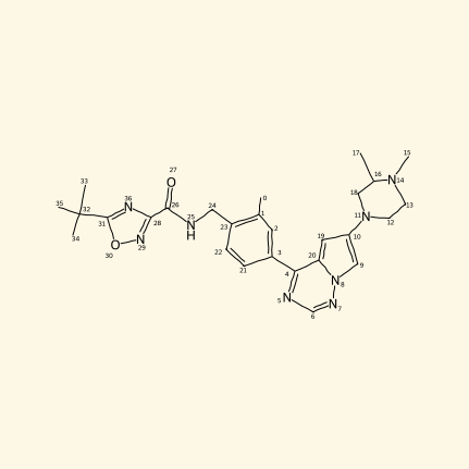 Cc1cc(-c2ncnn3cc(N4CCN(C)C(C)C4)cc23)ccc1CNC(=O)c1noc(C(C)(C)C)n1